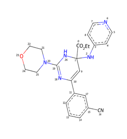 CCOC(=O)C1(Nc2ccncc2)C=C(c2cccc(C#N)c2)N=C(N2CCOCC2)N1